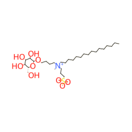 CCCCCCCCCCCCCCCC[N+](C)(CCCCOC1O[C@H](CO)[C@@H](O)[C@H](O)[C@H]1O)CCCS(=O)(=O)[O-]